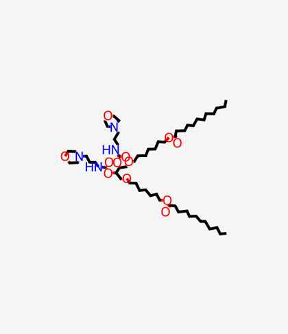 CCCCCCCCCCCC(=O)OCCCCCCCOCC(OC(=O)NCCCN1CCOCC1)C(COCCCCCCCOC(=O)CCCCCCCCCCC)OC(=O)NCCCN1CCOCC1